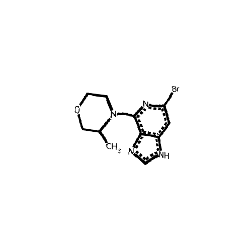 CC1COCCN1c1nc(Br)cc2[nH]cnc12